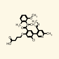 C/N=C/c1cc(C)ncc1-c1cc(C(=O)N(C)c2c(C)cccc2OC)c(OCCCC(=O)O)cc1Cl